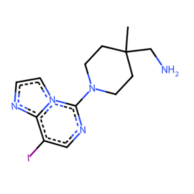 CC1(CN)CCN(c2ncc(I)c3nccn23)CC1